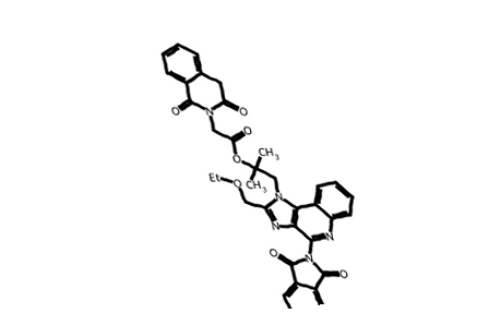 CCOCc1nc2c(N3C(=O)c4ccccc4C3=O)nc3ccccc3c2n1CC(C)(C)OC(=O)CN1C(=O)Cc2ccccc2C1=O